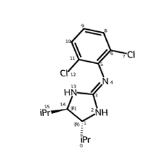 CC(C)[C@H]1NC(=Nc2c(Cl)cccc2Cl)N[C@@H]1C(C)C